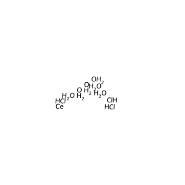 Cl.Cl.Cl.O.O.O.O.O.O.[Ce]